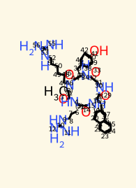 C[C@@H]1C(=O)N[C@@H](CCCNC(=N)N)C(=O)N[C@@H](Cc2ccc3ccccc3c2)C(=O)NCC(=O)N[C@H](Cc2ccc(O)cc2)C(=O)N1CCCCCCNC(=N)N